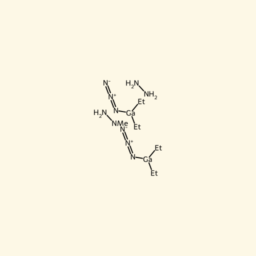 CNN.C[CH2][Ga]([CH2]C)[N]=[N+]=[N-].C[CH2][Ga]([CH2]C)[N]=[N+]=[N-].NN